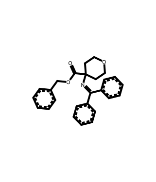 O=C(OCc1ccccc1)C1(N=C(c2ccccc2)c2ccccc2)CCOCC1